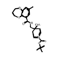 Cc1cc2c(c(C(=O)NCC3(O)CCN(C(=O)OC(C)(C)C)CC3)c1)OCCCO2